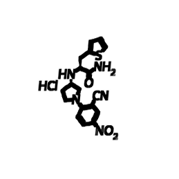 Cl.N#Cc1cc([N+](=O)[O-])ccc1N1CC[C@H](N[C@@H](Cc2cccs2)C(N)=O)C1